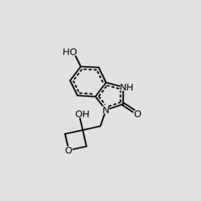 O=c1[nH]c2cc(O)ccc2n1CC1(O)COC1